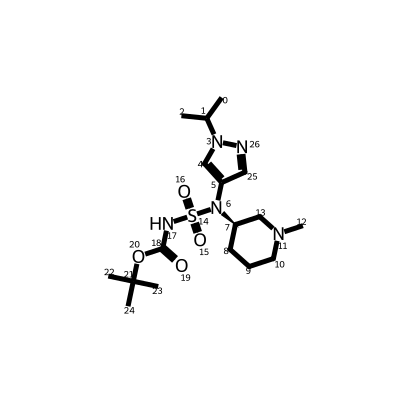 CC(C)n1cc(N([C@@H]2CCCN(C)C2)S(=O)(=O)NC(=O)OC(C)(C)C)cn1